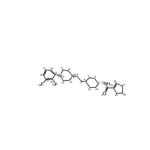 O=C(N[C@H]1CC[C@H](CCN2CCN(c3cccc(F)c3F)CC2)CC1)C1=CCCC1